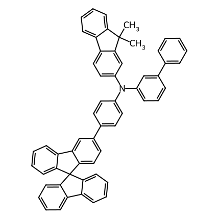 CC1(C)c2ccccc2-c2ccc(N(c3ccc(-c4ccc5c(c4)-c4ccccc4C54c5ccccc5-c5ccccc54)cc3)c3cccc(-c4ccccc4)c3)cc21